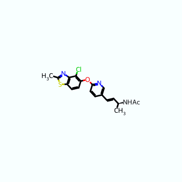 CC(=O)N[C@@H](C)/C=C/c1ccc(Oc2ccc3sc(C)nc3c2Cl)nc1